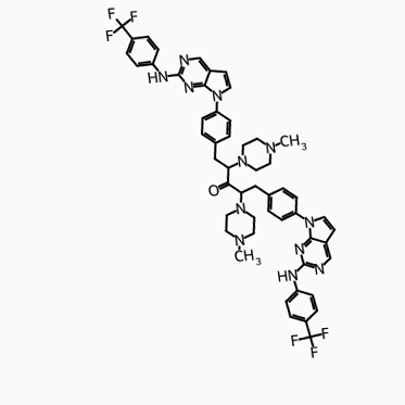 CN1CCN(C(Cc2ccc(-n3ccc4cnc(Nc5ccc(C(F)(F)F)cc5)nc43)cc2)C(=O)C(Cc2ccc(-n3ccc4cnc(Nc5ccc(C(F)(F)F)cc5)nc43)cc2)N2CCN(C)CC2)CC1